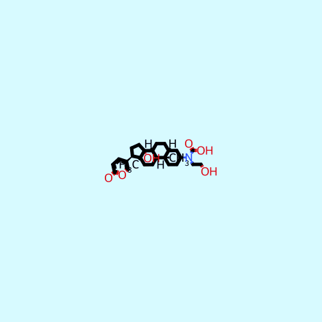 C[C@]12CC[C@H](N(CCO)C(=O)O)C[C@H]1CC[C@@H]1[C@@H]2CC[C@]2(C)[C@@H](c3ccc(=O)oc3)CC[C@]12O